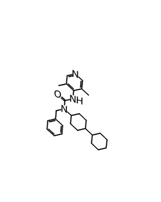 Cc1cncc(C)c1NC(=O)N(Cc1ccccc1)C1CCC(C2CCCCC2)CC1